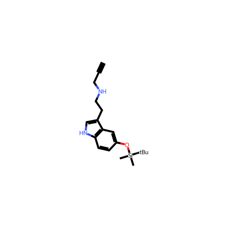 C#CCNCCc1c[nH]c2ccc(O[Si](C)(C)C(C)(C)C)cc12